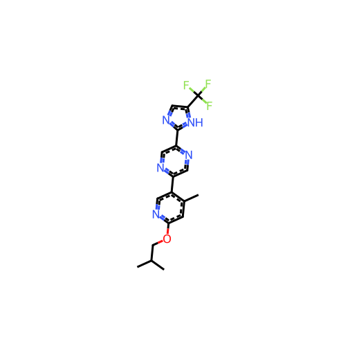 Cc1cc(OCC(C)C)ncc1-c1cnc(-c2ncc(C(F)(F)F)[nH]2)cn1